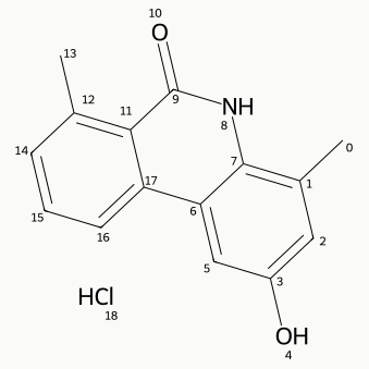 Cc1cc(O)cc2c1[nH]c(=O)c1c(C)cccc12.Cl